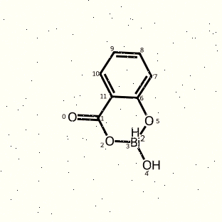 O=C1[O][BiH2]([OH])[O]c2ccccc21